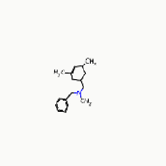 CC1=CC(C)CC(CN(C)Cc2ccccc2)C1